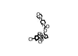 O=C(COCC1CCCN1S(=O)(=O)c1c(Cl)cc(Cl)cc1Cl)N1CCC(N2CCOCC2)CC1